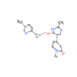 CCn1ccc(-c2cnc(C)nc2OCC2CC2c2ccc(OC)cn2)cc1=O